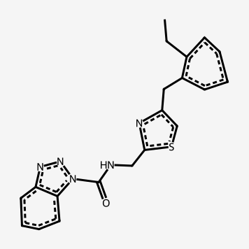 CCc1ccccc1Cc1csc(CNC(=O)n2nnc3ccccc32)n1